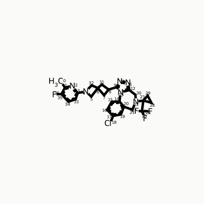 Cc1nc(N2CC3(CC(c4nnc5n4-c4ccc(Cl)cc4CN(C4(C(F)(F)F)CC4)C5)C3)C2)ccc1F